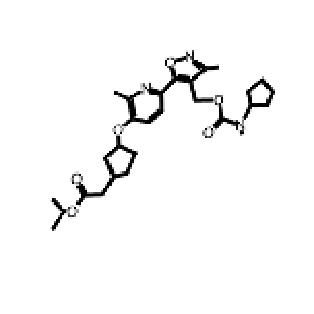 Cc1nc(-c2onc(C)c2COC(=O)N(C)C2CCCC2)ccc1OC1CCC(CC(=O)OC(C)C)C1